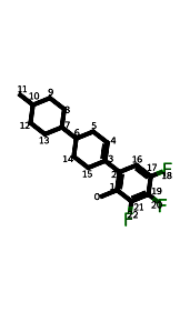 Cc1c(C2=CCC(C3CCC(C)CC3)CC2)cc(F)c(F)c1F